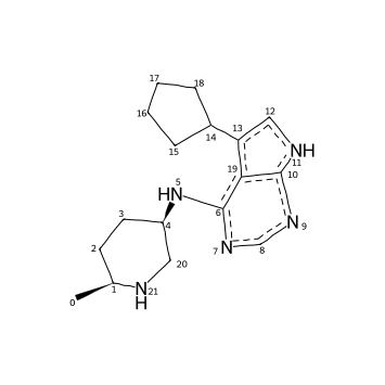 C[C@H]1CC[C@@H](Nc2ncnc3[nH]cc(C4CCCC4)c23)CN1